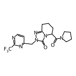 O=C(C1CCCc2nn(Cc3ccnc(C(F)(F)F)n3)c(=O)n21)N1CCCC1